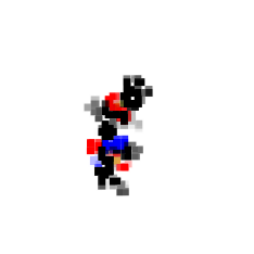 CC(C)S(=O)(=O)c1cc(C(F)(F)F)cnc1C(=O)N[C@H]1C[C@@H](CC(C)(C)S(=O)(=O)c2cccc(C(F)(F)F)c2)C1